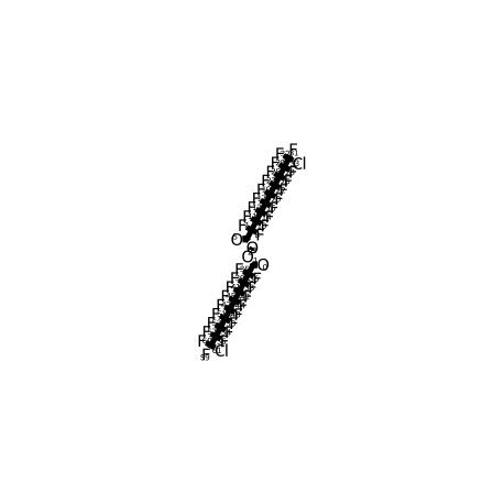 O=C(OOC(=O)C(F)(F)C(F)(F)C(F)(F)C(F)(F)C(F)(F)C(F)(F)C(F)(F)C(F)(F)C(F)(F)Cl)C(F)(F)C(F)(F)C(F)(F)C(F)(F)C(F)(F)C(F)(F)C(F)(F)C(F)(F)C(F)(F)Cl